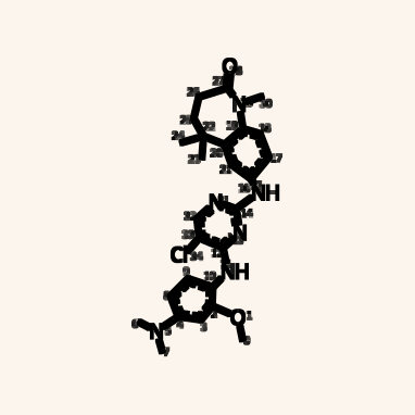 COc1cc(N(C)C)ccc1Nc1nc(Nc2ccc3c(c2)C(C)(C)CCC(=O)N3C)ncc1Cl